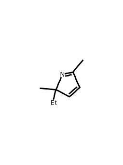 [CH2]CC1(C)C=CC(C)=N1